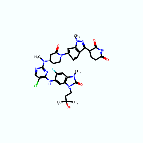 CN(c1ncc(Cl)c(Nc2cc3c(cc2F)n(C)c(=O)n3CCC(C)(C)O)n1)[C@@H]1CCN(c2ccc3c(C4CCC(=O)NC4=O)nn(C)c3c2)C(=O)C1